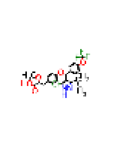 COC(Cc1ccc(OC(c2ccc(OC(F)(F)F)cc2)c2c(C(C)C)n[nH]c2Cl)cc1)C(=O)O